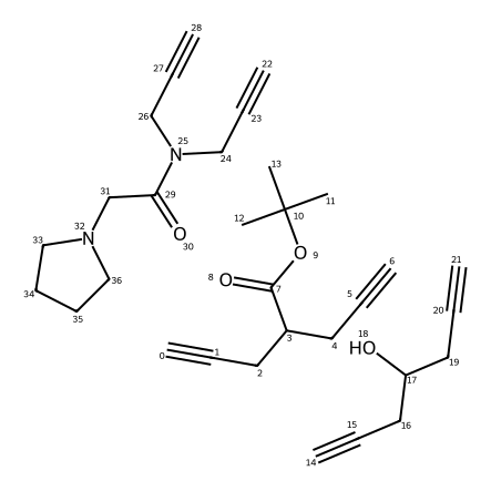 C#CCC(CC#C)C(=O)OC(C)(C)C.C#CCC(O)CC#C.C#CCN(CC#C)C(=O)CN1CCCC1